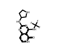 O=c1[nH]ccc2nc(NC3CCNC3)nc(NC(F)(F)F)c12